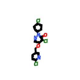 O=c1c(Cl)c(OCc2ccc(Cl)nc2)cnn1-c1ccc(Cl)cc1